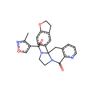 Cc1nocc1C(=O)N1CCN2C(=O)c3ncccc3CC12c1ccc2c(c1)CCO2